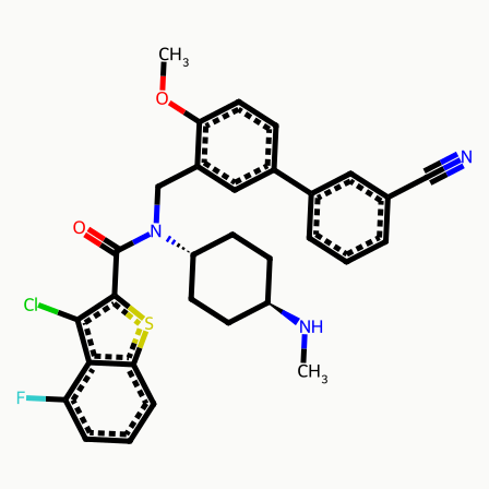 CN[C@H]1CC[C@H](N(Cc2cc(-c3cccc(C#N)c3)ccc2OC)C(=O)c2sc3cccc(F)c3c2Cl)CC1